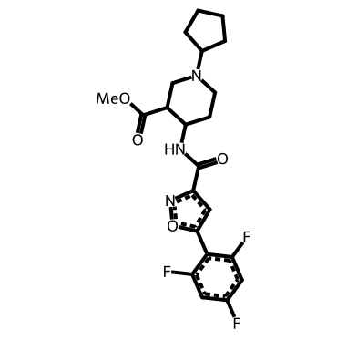 COC(=O)C1CN(C2CCCC2)CCC1NC(=O)c1cc(-c2c(F)cc(F)cc2F)on1